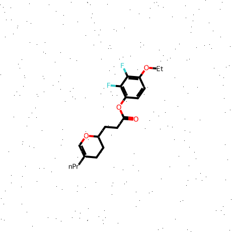 CCCC1=COC(CCC(=O)Oc2ccc(OCC)c(F)c2F)CC1